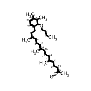 CCCCOC1C(CCC(C)CC/C=C(\C)CCC/C(C)=C/CCC(C)=C=O)=CC=C(C)C1C